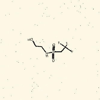 O=S(=O)(CC(F)(F)F)NCCO